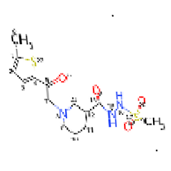 Cc1ccc(C(=O)CN2CCCC(C(=O)NNS(C)(=O)=O)C2)s1